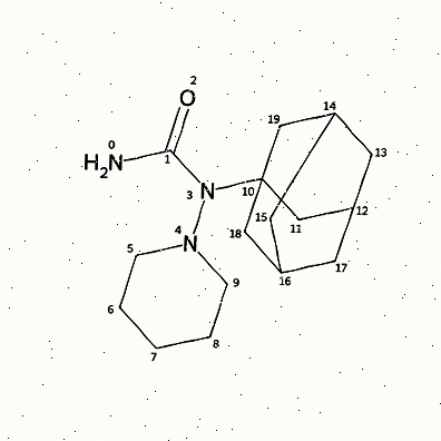 NC(=O)N(N1CCCCC1)C12CC3CC(CC(C3)C1)C2